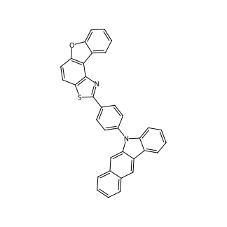 c1ccc2cc3c(cc2c1)c1ccccc1n3-c1ccc(-c2nc3c(ccc4oc5ccccc5c43)s2)cc1